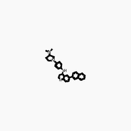 CN(C)C1CCN(c2ccc(Nc3ccnc4ccc(-c5ccc6ccccc6c5)cc34)cc2)C1